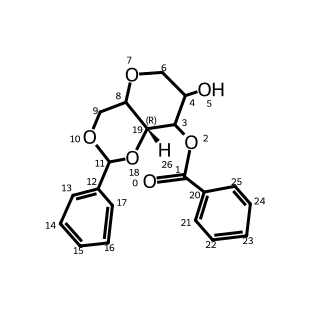 O=C(OC1C(O)COC2COC(c3ccccc3)O[C@H]21)c1ccccc1